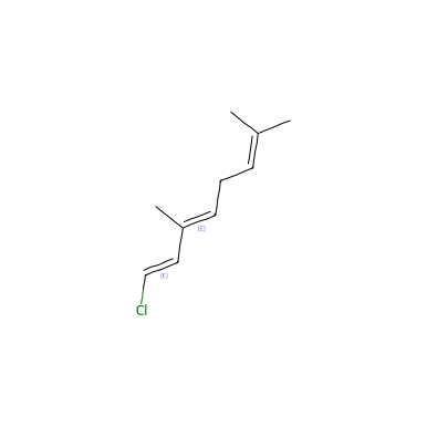 CC(C)=CC/C=C(C)/C=C/Cl